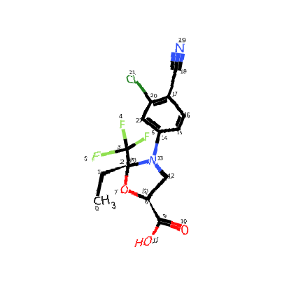 CC[C@]1(C(F)(F)F)O[C@H](C(=O)O)CN1c1ccc(C#N)c(Cl)c1